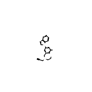 C#CCN1CCOc2c(Cl)cc(-n3ccc4cc(F)ccc43)cc2C1